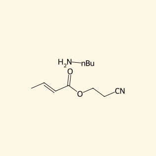 CC=CC(=O)OCCC#N.CCCCN